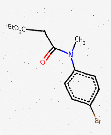 CCOC(=O)CC(=O)N(C)c1ccc(Br)cc1